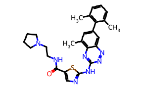 Cc1cccc(C)c1-c1cc(C)c2nc(Nc3ncc(C(=O)NCCN4CCCC4)s3)nnc2c1